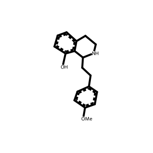 COc1ccc(CCC2NCCc3cccc(O)c32)cc1